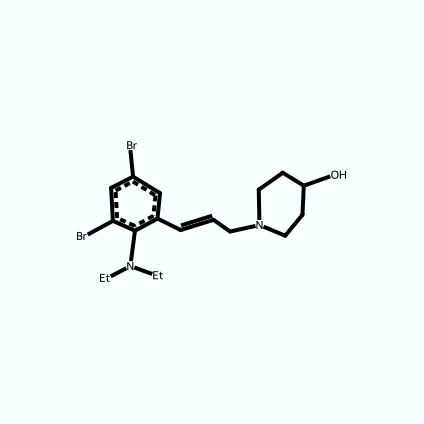 CCN(CC)c1c(Br)cc(Br)cc1C=CCN1CCC(O)CC1